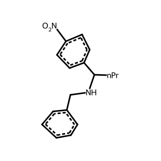 CCCC(NCc1ccccc1)c1ccc([N+](=O)[O-])cc1